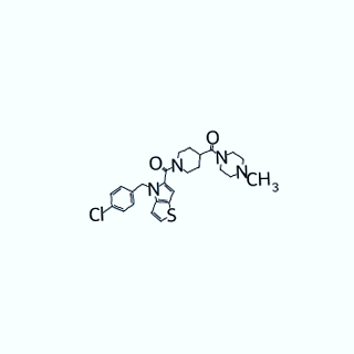 CN1CCN(C(=O)C2CCN(C(=O)c3cc4sccc4n3Cc3ccc(Cl)cc3)CC2)CC1